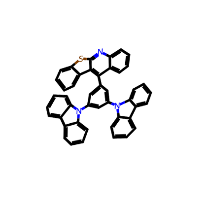 c1ccc2c(-c3cc(-n4c5ccccc5c5ccccc54)cc(-n4c5ccccc5c5ccccc54)c3)c3c(nc2c1)sc1ccccc13